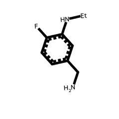 CCNc1cc(CN)ccc1F